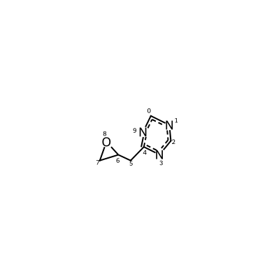 c1ncnc(CC2CO2)n1